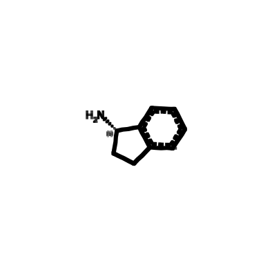 N[C@H]1CCc2[c]cccc21